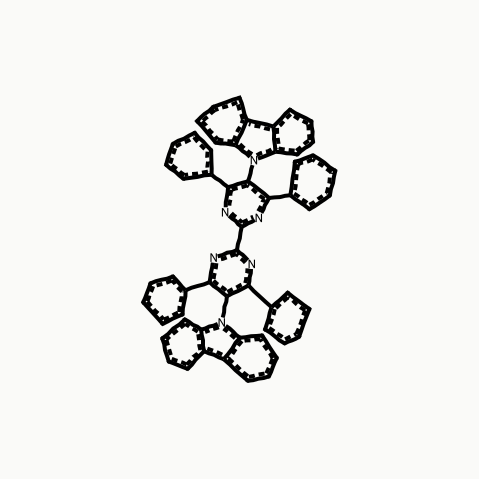 c1ccc(-c2nc(-c3nc(-c4ccccc4)c(-n4c5ccccc5c5ccccc54)c(-c4ccccc4)n3)nc(-c3ccccc3)c2-n2c3ccccc3c3ccccc32)cc1